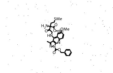 COc1ccc2nc3c(c(C)nn3C(=O)OCc3ccccc3)c(NCC(=O)C(N)(CCSC)C(=O)OC(C)(C)C)c2c1